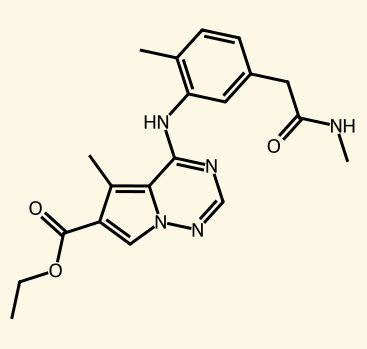 CCOC(=O)c1cn2ncnc(Nc3cc(CC(=O)NC)ccc3C)c2c1C